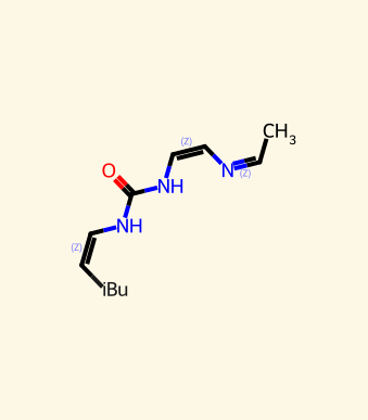 C/C=N\C=C/NC(=O)N/C=C\C(C)CC